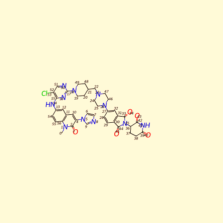 Cn1c(=O)c(-n2ccnc2)cc2cc(Nc3nc(N4CCC(CN5CCN(c6ccc7c(c6)C(=O)N(C6CCC(=O)NC6=O)C7=O)CC5)CC4)ncc3Cl)ccc21